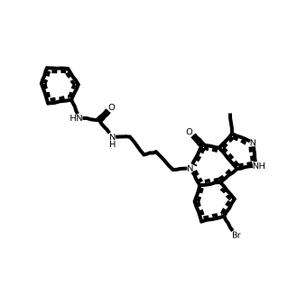 Cc1n[nH]c2c1c(=O)n(CCCCNC(=O)Nc1ccccc1)c1ccc(Br)cc21